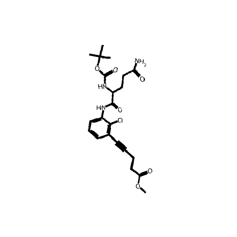 COC(=O)CCC#Cc1cccc(NC(=O)C(CCC(N)=O)NC(=O)OC(C)(C)C)c1Cl